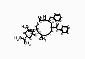 CC1CCCN(C(=O)Cc2ccccc2)CC(Cc2ccccc2)NC(=O)CC[C@H](C)[C@H]1OC1C[C@@H](N(C)C)C[C@@H](C)O1